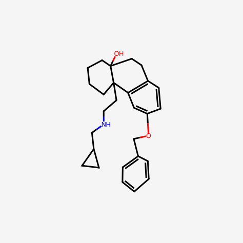 OC12CCCCC1(CCNCC1CC1)c1cc(OCc3ccccc3)ccc1CC2